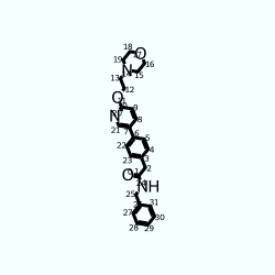 O=C(Cc1ccc(-c2ccc(OCCN3CCOCC3)nc2)cc1)NCc1ccccc1